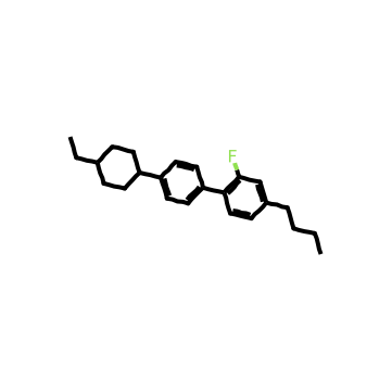 CCCCc1ccc(-c2ccc(C3CCC(CC)CC3)cc2)c(F)c1